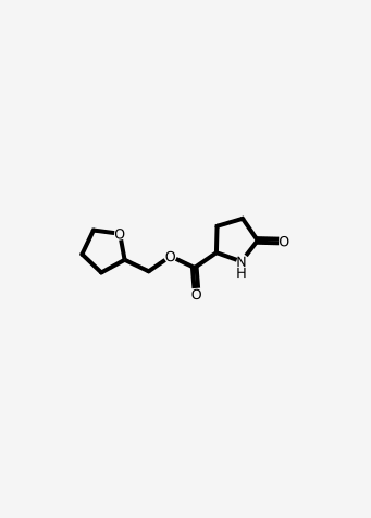 O=C1CCC(C(=O)OCC2CCCO2)N1